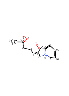 CC(=O)CCC=C1CN2CC=CC=C2C1=O